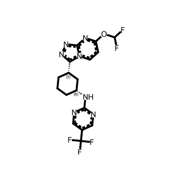 FC(F)Oc1ccn2c([C@H]3CCC[C@@H](Nc4ncc(C(F)(F)F)cn4)C3)nnc2n1